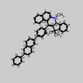 CN1c2ccc3ccccc3c2C(c2ccc(-c3ccc4cc(-c5ccccc5)ccc4c3)cc2)=C2C1c1ccccc1C2(C)C